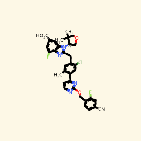 Cc1cc(Cc2nc3c(F)cc(C(=O)O)cc3n2[C@@H]2COCC2(C)C)c(Cl)cc1-c1ccnc(OCc2ccc(C#N)cc2F)n1